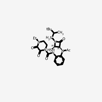 CCN1CCN(C(=O)Nc2ccccc2N(C(C)=O)[C@@H]2C(=O)N([SiH2]C(C)C(C)(C)C)[C@@H]2S)C(=O)C1=O